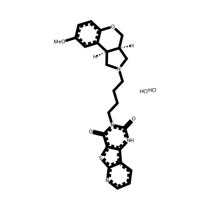 COc1ccc2c(c1)[C@@H]1CN(CCCCn3c(=O)[nH]c4c(sc5ncccc54)c3=O)C[C@@H]1CO2.Cl.Cl